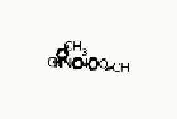 C#CCO[C@H]1CC[C@@H](N2CCC(Nc3cc(C)ccc3N=O)CC2)CC1